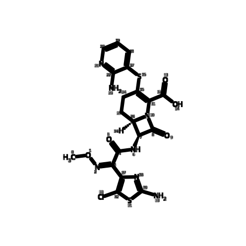 CO/N=C(\C(=O)N[C@@H]1C(=O)N2C(C(=O)O)=C(Sc3cccnc3N)CC[C@H]12)c1nc(N)sc1Cl